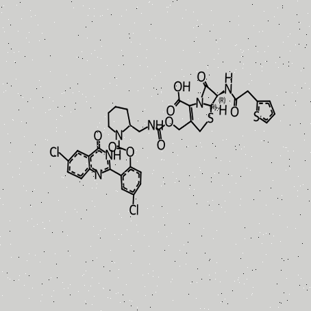 O=C(Cc1cccs1)N[C@@H]1C(=O)N2C(C(=O)O)=C(COC(=O)NCC3CCCCN3C(=O)Oc3ccc(Cl)cc3-c3nc4ccc(Cl)cc4c(=O)[nH]3)CS[C@H]12